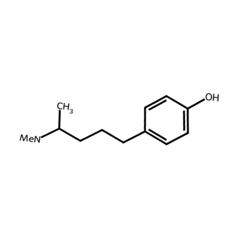 CNC(C)CCCc1ccc(O)cc1